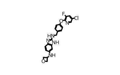 Fc1cc(Cl)cnc1Oc1ccc(CNc2nc3ccc(NC4COC4)cc3[nH]2)cc1